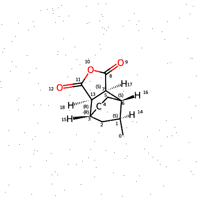 C[C@H]1C[C@H]2CC[C@@H]1[C@@H]1C(=O)OC(=O)[C@H]21